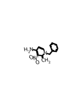 C=C1C([N+](=O)[O-])=C(N)C=CN1Cc1ccccc1